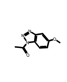 COc1ccc2c(c1)nnn2C(C)=O